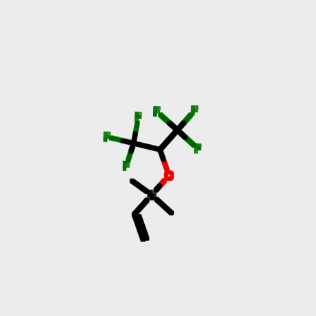 C=C[Si](C)(C)OC(C(F)(F)F)C(F)(F)F